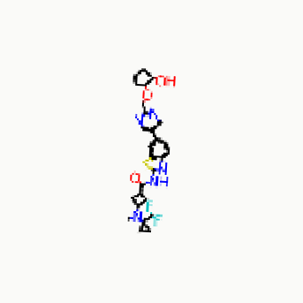 CN(C1CC(C(=O)Nc2nc3ccc(-c4cnc(CO[C@H]5CCC[C@@H]5O)nc4)cc3s2)C1)C1(C(F)F)CC1